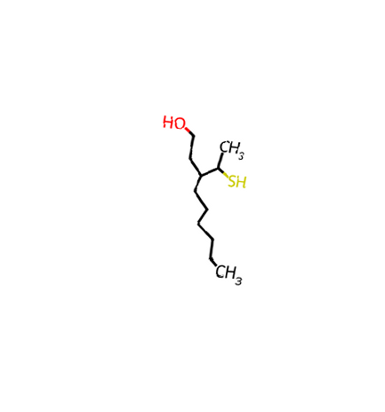 CCCCCCC(CCO)C(C)S